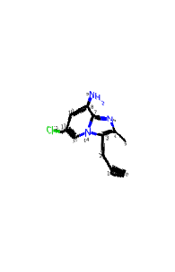 C#CCc1c(C)nc2c(N)cc(Cl)cn12